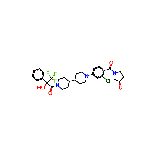 O=C1CCN(C(=O)c2ccc(N3CCC(C4CCN(C(=O)[C@](O)(c5ccccc5)C(F)(F)F)CC4)CC3)cc2Cl)C1